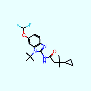 CC(C)(CC(=O)Nc1nc2ccc(OC(F)F)cc2n1C(C)(C)C)C1CC1